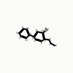 CCCc1ccc(-c2ccccc2)cc1Br